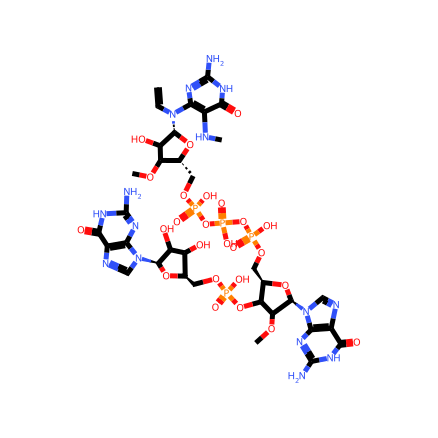 C=CN(c1nc(N)[nH]c(=O)c1NC)[C@@H]1O[C@H](COP(=O)(O)OP(=O)(O)OP(=O)(O)OC[C@H]2O[C@@H](n3cnc4c(=O)[nH]c(N)nc43)C(OC)C2OP(=O)(O)OC[C@H]2O[C@@H](n3cnc4c(=O)[nH]c(N)nc43)C(O)C2O)C(OC)C1O